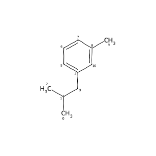 C[C](C)Cc1cccc(C)c1